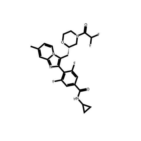 Cc1ccn2c(C[C@H]3CN(C(=O)C(F)F)CCO3)c(-c3c(F)cc(C(=O)NC4CC4)cc3F)nc2c1